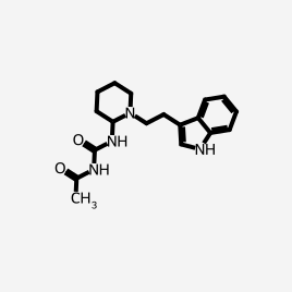 CC(=O)NC(=O)NC1CCCCN1CCc1c[nH]c2ccccc12